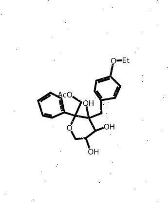 CCOc1ccc(CC2(O)C(O)C(O)COC2(COC(C)=O)c2ccccc2)cc1